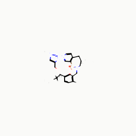 CCCn1cc(CO[C@H](c2ccc(C)c(CN3C[C@@H](C)Cc4ccncc4S3(=O)=O)c2)C(C)(C)C(=O)O)nn1